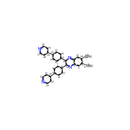 CC(C)(C)c1cc2nc(-c3ccc(-c4ccncc4)cc3)c(-c3ccc(-c4ccncc4)cc3)nc2cc1C(C)(C)C